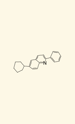 c1ccc(-c2ccc3cc(C4CCCCC4)ccc3n2)cc1